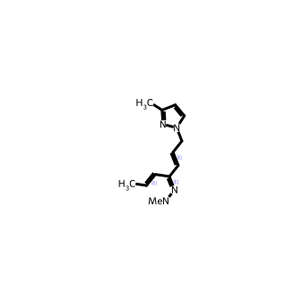 C/C=C/C(/C=C/Cn1ccc(C)n1)=N\NC